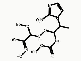 CCOC(NOC(NC(=O)OC(C)(C)C)C(C)n1ccnc1[N+](=O)[O-])C(=NO)C(C)C